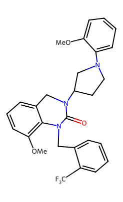 COc1ccccc1N1CCC(N2Cc3cccc(OC)c3N(Cc3ccccc3C(F)(F)F)C2=O)C1